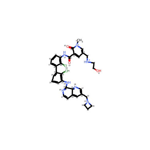 Cn1cc(CNCCO)cc(C(=O)Nc2cccc(-c3cccc(Nc4nccc5cc(CN6CCC6)cnc45)c3Cl)c2Cl)c1=O